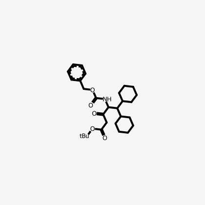 CC(C)(C)OC(=O)CC(=O)C(NC(=O)OCc1ccccc1)C(C1CCCCC1)C1CCCCC1